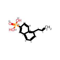 C=CCc1cccc2cc(P(=O)(O)O)ccc12